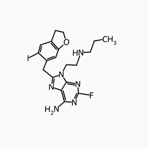 CCCNCCn1c(Cc2cc3c(cc2I)CCO3)nc2c(N)nc(F)nc21